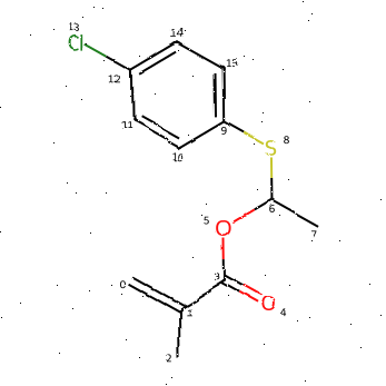 C=C(C)C(=O)OC(C)Sc1ccc(Cl)cc1